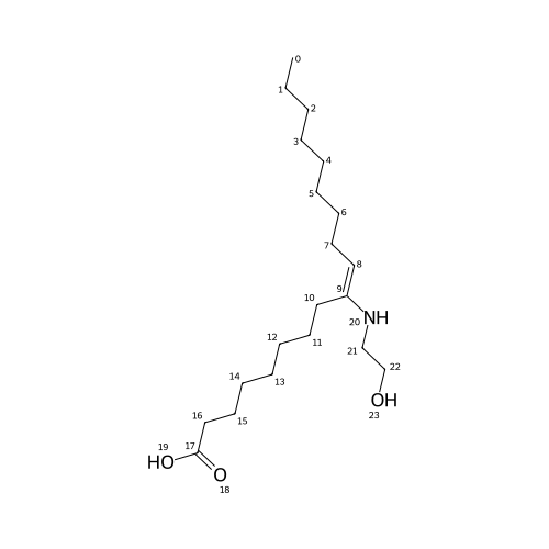 CCCCCCCC/C=C(\CCCCCCCC(=O)O)NCCO